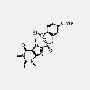 CCOc1ccc(OC)cc1CS(=O)(=O)c1nc2c(c(=O)n(C)c(=O)n2C)n1C